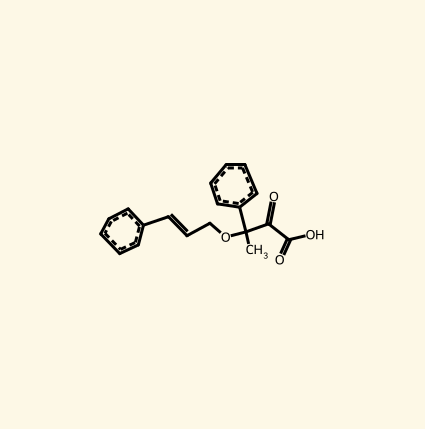 CC(OCC=Cc1ccccc1)(C(=O)C(=O)O)c1ccccc1